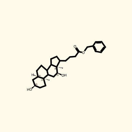 C[C@@]12C(CCCC(=O)OCc3ccccc3)CCC1C1CC[C@@H]3C[C@H](O)CC[C@]3(C)C1C[C@@H]2O